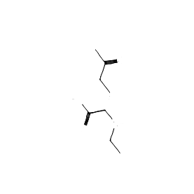 CCN[C@@H](CCC(C)=O)C(=O)O